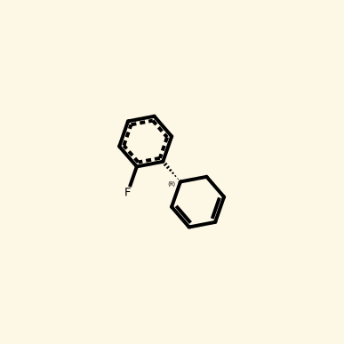 Fc1ccccc1[C@H]1C=CC=CC1